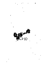 CC1CCCN1CCCOc1ccc(N2C(C=O)OCC2c2ccccc2)cc1